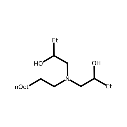 CCCCCCCCCCN(CC(O)CC)CC(O)CC